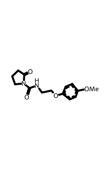 COc1ccc(OCCNC(=O)N2CCCC2=O)cc1